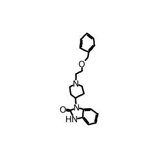 O=c1[nH]c2ccccc2n1C1CCN(CCOCc2ccccc2)CC1